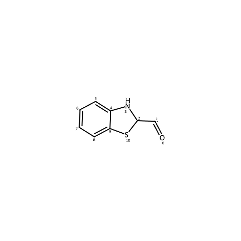 O=[C]C1Nc2ccccc2S1